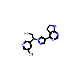 N#CCC(c1cncc(C#N)c1)n1cc(-c2ncnc3c2CCN3)cn1